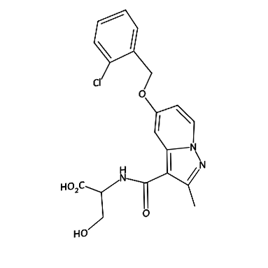 Cc1nn2ccc(OCc3ccccc3Cl)cc2c1C(=O)NC(CO)C(=O)O